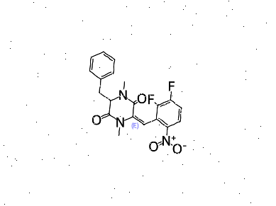 CN1C(=O)C(Cc2ccccc2)N(C)C(=O)/C1=C\c1c([N+](=O)[O-])ccc(F)c1F